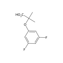 CC(C)(Oc1cc(F)cc(F)c1)C(=O)O